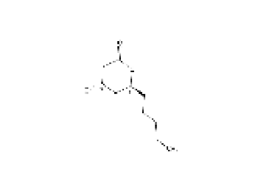 CCCCC[C@H]1C[C@H](O)CC(=O)O1